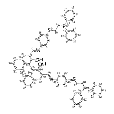 Oc1c(C=Nc2ccc(SCCP(c3ccccc3)c3ccccc3)cc2)cc2cccc3c4cccc5cc(C=Nc6ccc(SCCP(c7ccccc7)c7ccccc7)cc6)c(O)c(c1c23)c54